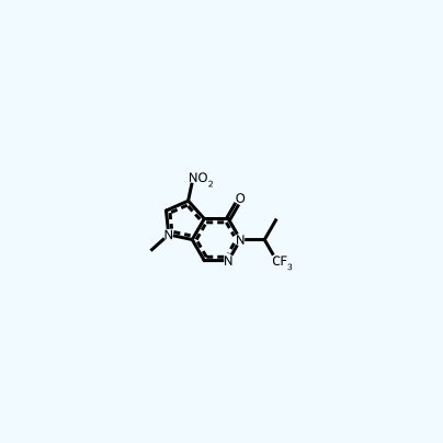 CC(n1ncc2c(c([N+](=O)[O-])cn2C)c1=O)C(F)(F)F